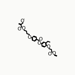 C=COC(=O)CCOc1ccc(OC(=O)c2ccc(OCCCCOC(=O)C(=C)COC)cc2)cc1CC